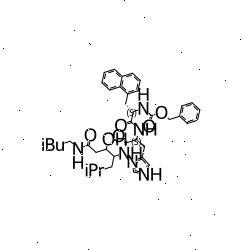 CCC(C)CNC(=O)CC(O)C(CC(C)C)NC(=O)[C@H](Cc1c[nH]cn1)NC(=O)[C@H](Cc1cccc2ccccc12)NC(=O)OCc1ccccc1